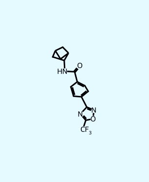 O=C(NC1CC2CC1C2)c1ccc(-c2noc(C(F)(F)F)n2)cc1